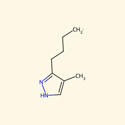 [CH2]CCCc1n[nH]cc1C